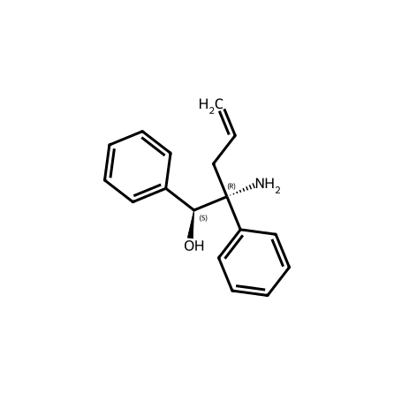 C=CC[C@@](N)(c1ccccc1)[C@@H](O)c1ccccc1